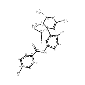 C[C@@H]1OC(N)=N[C@](c2cc(NC(=O)c3ccc(Cl)cn3)cnc2F)(C(F)F)[C@@H]1C